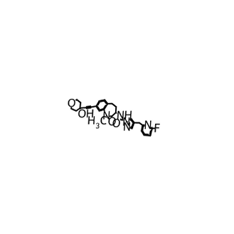 CN1C(=O)[C@@H](NC(=O)n2cc(Cc3cccc(F)n3)cn2)CCc2ccc(C#CC3(O)CCOCC3)cc21